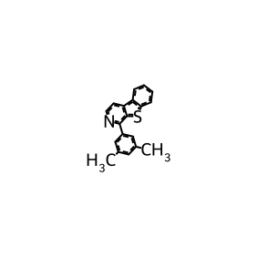 Cc1cc(C)cc(-c2nccc3c2sc2ccccc23)c1